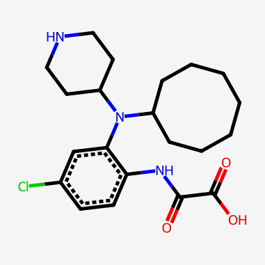 O=C(O)C(=O)Nc1ccc(Cl)cc1N(C1CCCCCCC1)C1CCNCC1